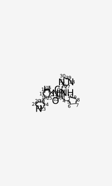 CC(N[C@@H](Cc1ccccc1)C(=O)Nc1cccc(-c2ccncc2)c1)c1cnccn1